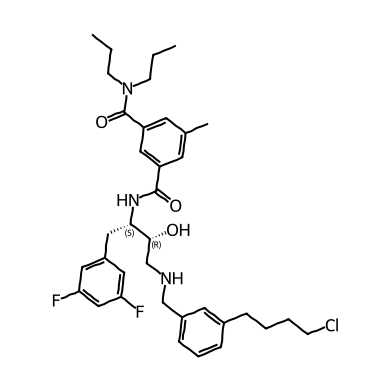 CCCN(CCC)C(=O)c1cc(C)cc(C(=O)N[C@@H](Cc2cc(F)cc(F)c2)[C@H](O)CNCc2cccc(CCCCCl)c2)c1